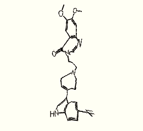 COc1cc2ncn(CCN3CC=C(c4c[nH]c5ccc(F)cc45)CC3)c(=O)c2cc1OC